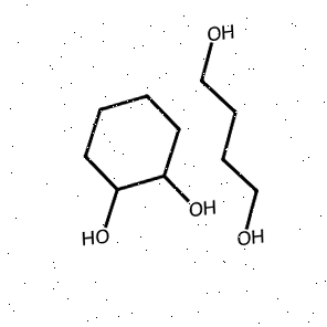 OC1CCCCC1O.OCCCCO